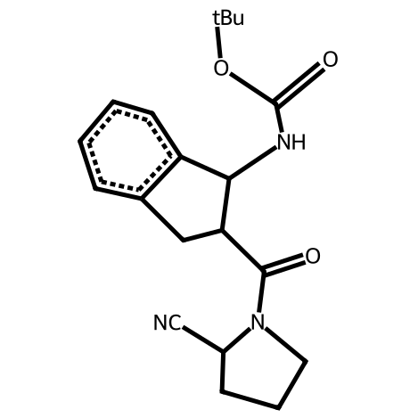 CC(C)(C)OC(=O)NC1c2ccccc2CC1C(=O)N1CCCC1C#N